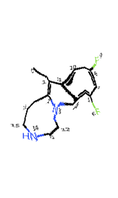 Cc1c2n(c3c(F)cc(F)cc13)CCNCC2